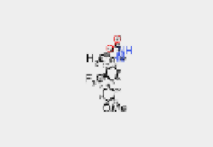 COc1ccc(-c2ccc(C3=NNC(=O)O[C@H]3C)cc2C(F)(F)F)cc1